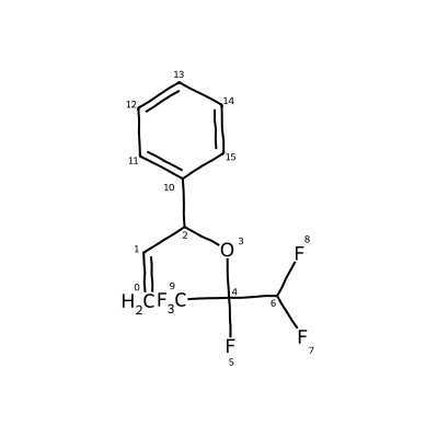 C=CC(OC(F)(C(F)F)C(F)(F)F)c1ccccc1